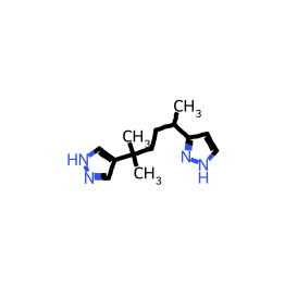 CC(CCC(C)(C)c1cn[nH]c1)c1cc[nH]n1